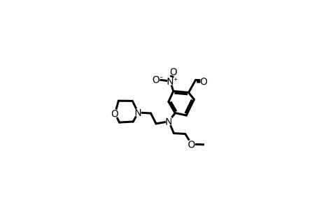 COCCN(CCN1CCOCC1)c1ccc(C=O)c([N+](=O)[O-])c1